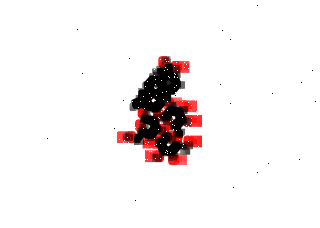 C=C1CC23CC[C@H]4[C@@](C)(CCC[C@@]4(C)C(=O)O)[C@@H]2CC[C@]1(O[C@@H]1O[C@H](CO)[C@@H](O)[C@H](O[C@@H]2O[C@H](CO)[C@@H](O)[C@H](O)[C@H]2O)[C@H]1O[C@@H]1O[C@H](CO)[C@@H](O)[C@H](O)[C@H]1O)C3